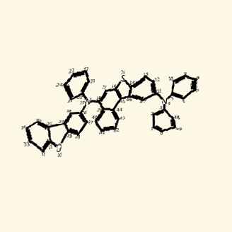 c1ccc(N(c2ccccc2)c2ccc3sc4cc(N(c5ccccc5)c5ccc6oc7ccccc7c6c5)c5ccccc5c4c3c2)cc1